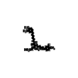 Cc1ccc(CCCCCCNC(=O)C(OCCCCNc2ccc(C)c(Cl)c2)C(OCC(=O)O)C(=O)O)cc1C